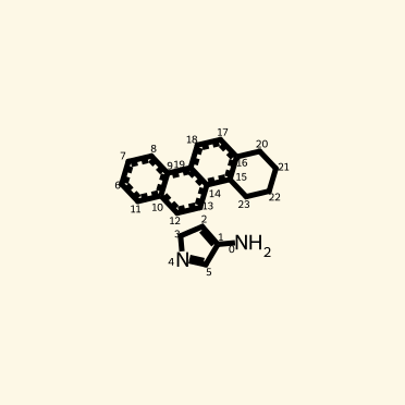 NC1=CCN=C1.c1ccc2c(c1)ccc1c3c(ccc12)CCCC3